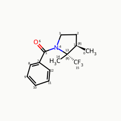 C[C@@H]1CCN(C(=O)c2ccccc2)[C@@]1(C)C(F)(F)F